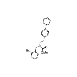 COC(=O)N(CCc1ccc(-c2ccccc2)cc1)Cc1ccccc1Br